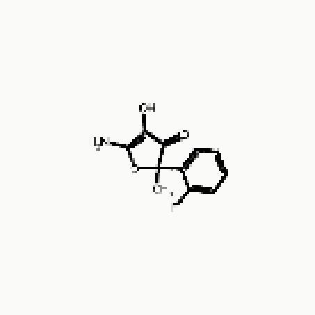 CC1(c2ccccc2F)OC(N)=C(O)C1=O